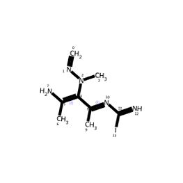 C=NN(C)C(=C(/C)N)/C(C)=N/C(=N)I